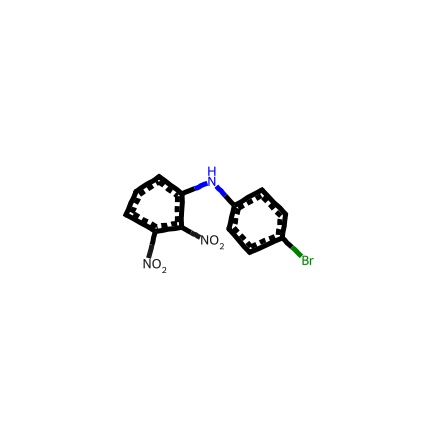 O=[N+]([O-])c1cccc(Nc2ccc(Br)cc2)c1[N+](=O)[O-]